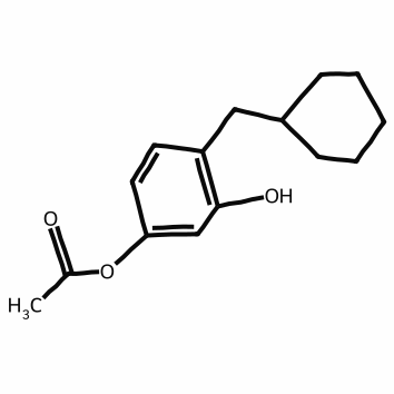 CC(=O)Oc1ccc(CC2CCCCC2)c(O)c1